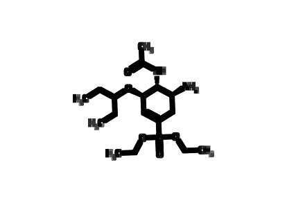 CCOP(=O)(OCC)C1=C[C@@H](OC(CC)CC)[C@H](NC(C)=O)[C@@H](N)C1